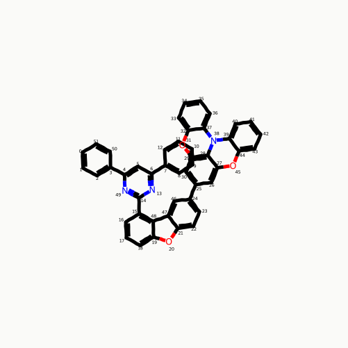 c1ccc(-c2cc(-c3ccccc3)nc(-c3cccc4oc5ccc(-c6cc7c8c(c6)Oc6ccccc6N8c6ccccc6O7)cc5c34)n2)cc1